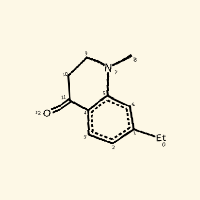 CCc1ccc2c(c1)N(C)CCC2=O